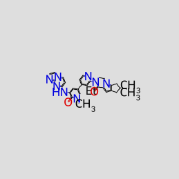 CCc1c(-c2cc(Nc3ccn4ccnc4n3)c(=O)n(C)c2)ccnc1N1CCn2c(cc3c2CC(C)(C)C3)C1=O